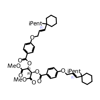 CCCC(C)C1(/C=C/COc2ccc(C(=O)O[C@@H](C(=O)OC)[C@@H](OC(=O)c3ccc(OC/C=C/C4(C(C)CCC)CCCCC4)cc3)C(=O)OC)cc2)CCCCC1